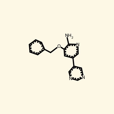 Nc1ncc(-c2cncnc2)cc1OCc1ccccc1